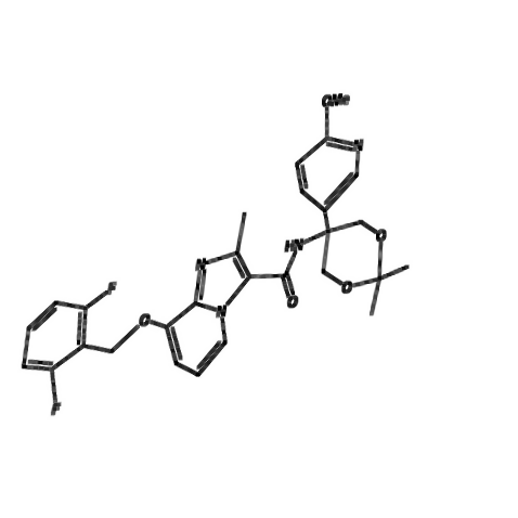 COc1ccc(C2(NC(=O)c3c(C)nc4c(OCc5c(F)cccc5F)cccn34)COC(C)(C)OC2)cn1